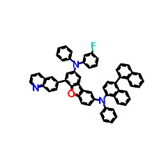 Fc1cccc(N(c2ccccc2)c2cc(-c3ccc4ncccc4c3)c3oc4ccc(N(c5ccccc5)c5ccc(-c6cccc7ccccc67)c6ccccc56)cc4c3c2)c1